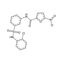 O=C(Nc1cccc(S(=O)(=O)Nc2ccccc2Cl)c1)c1ccc([N+](=O)[O-])o1